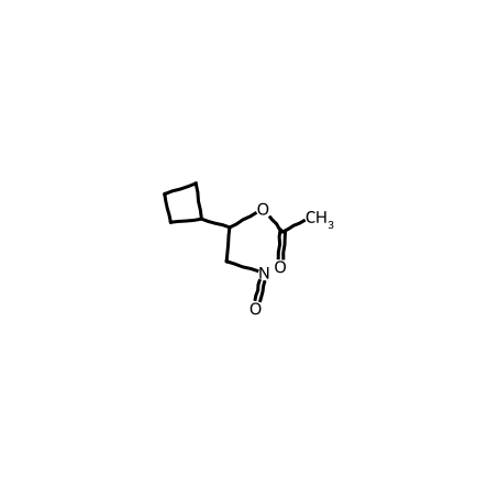 CC(=O)OC(CN=O)C1CCC1